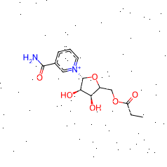 CCC(=O)OCC1O[C@@H]([n+]2cccc(C(N)=O)c2)[C@H](O)[C@@H]1O